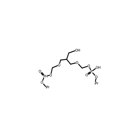 CC(C)O[PH](=O)OCOCC(CO)COCOP(=O)(O)OC(C)C